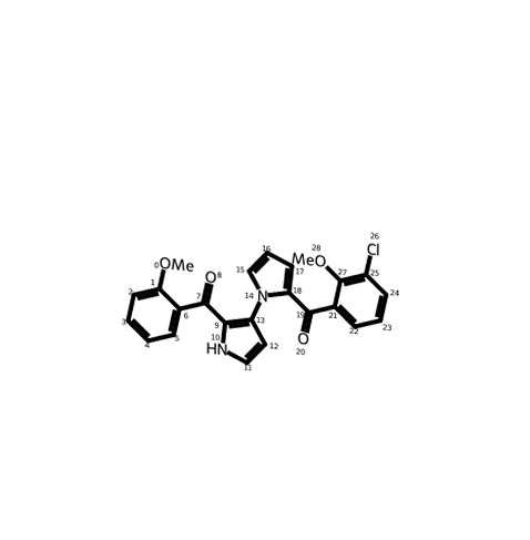 COc1ccccc1C(=O)c1[nH]ccc1-n1cccc1C(=O)c1cccc(Cl)c1OC